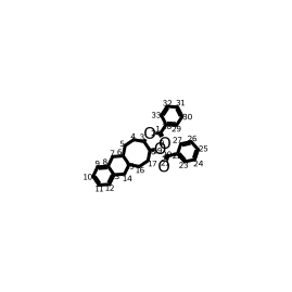 O=C(OC1CCC2Cc3ccccc3CC2CCC1OC(=O)c1ccccc1)c1ccccc1